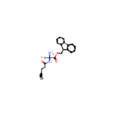 C#CCCC(=O)NC(C)(N)C(=O)OCC1c2ccccc2-c2ccccc21